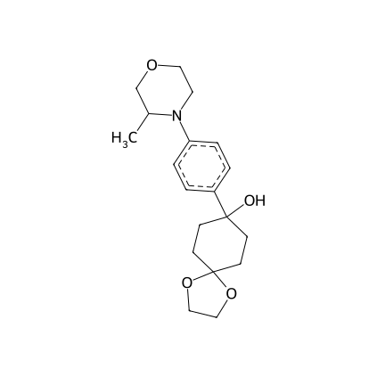 CC1COCCN1c1ccc(C2(O)CCC3(CC2)OCCO3)cc1